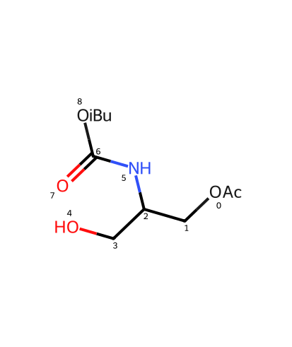 CC(=O)OCC(CO)NC(=O)OCC(C)C